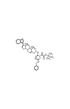 CC(C)(C)OC(=O)NC(CC(=O)OCc1ccccc1)C(=O)O[C@H]1CC[C@@]2(C)C(=CCC3C2CC[C@]2(C)C(n4cnc5ccccc54)=CCC32)C1